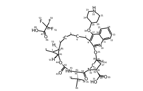 CC1[C@H]2CCCCCc3c(nc4ccccc4c3OC3CCNCC3)O[C@@H]3C[C@@H](C(=O)O)N(C3)C(=O)[C@H](C(C)(C)C)NC(=O)O[C@H]12.O=C(O)C(F)(F)F